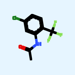 CC(=O)Nc1cc(Cl)ccc1C(F)(F)F